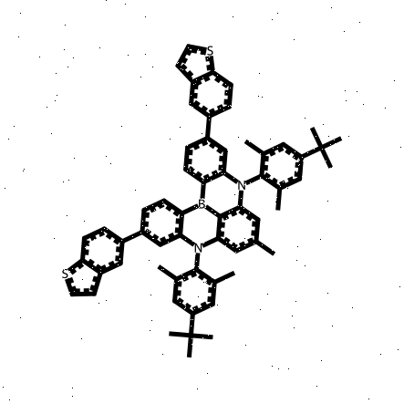 Cc1cc2c3c(c1)N(c1c(C)cc(C(C)(C)C)cc1C)c1cc(-c4ccc5sccc5c4)ccc1B3c1ccc(-c3ccc4sccc4c3)cc1N2c1c(C)cc(C(C)(C)C)cc1C